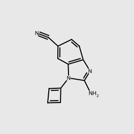 N#Cc1ccc2nc(N)n(C3=CC=C3)c2c1